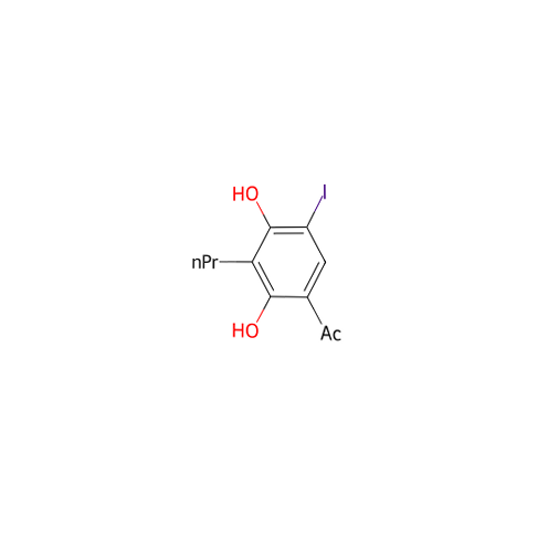 CCCc1c(O)c(I)cc(C(C)=O)c1O